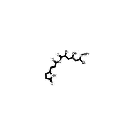 CCCOC(CC)CC(O)CC(CC)C(=O)OC(=O)/C=C/C1CCC(=O)N1